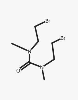 CN(CCBr)C(=O)N(C)CCBr